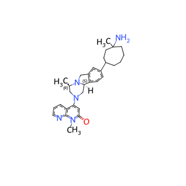 C[C@@H]1CN(c2cc(=O)n(C)c3ncccc23)C[C@@H]2c3ccc(C4CCCCC(C)(N)CC4)cc3CN12